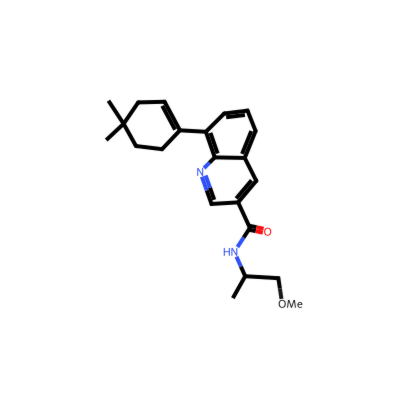 COCC(C)NC(=O)c1cnc2c(C3=CCC(C)(C)CC3)cccc2c1